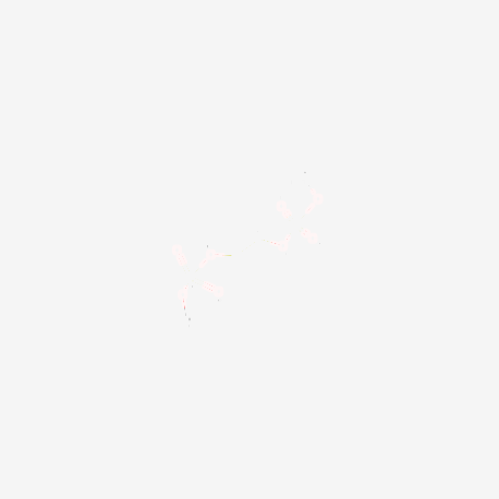 CCCOS(=O)(=O)OSSOS(=O)(=O)OCCC